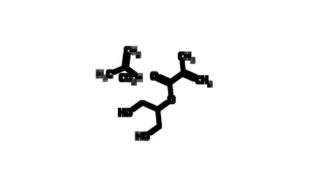 C=C(C)C(=O)O.C=C(C)C(=O)OC(CO)CO